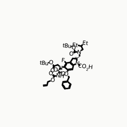 C=CCOC(=O)NS(=O)(=O)N(CC(=O)OC(C)(C)C)c1c(OCc2ccccc2)cc2c(c1F)C[C@H](CN(CC(CC)CC)C(=O)OC(C)(C)C)N2C(=O)O